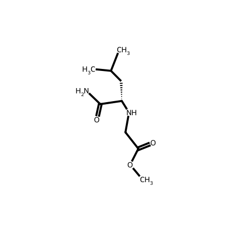 COC(=O)CN[C@@H](CC(C)C)C(N)=O